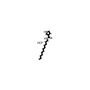 CCCCCCCCCCCCNC(=O)C1CCNC1.Cl